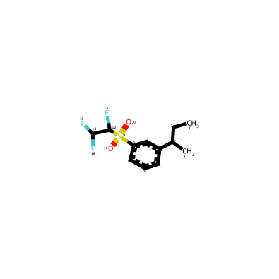 CCC(C)c1cccc(S(=O)(=O)C(F)C(F)F)c1